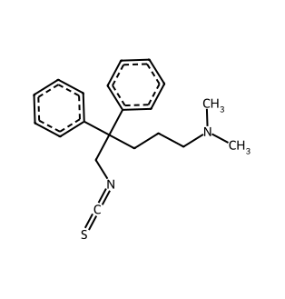 CN(C)CCCC(CN=C=S)(c1ccccc1)c1ccccc1